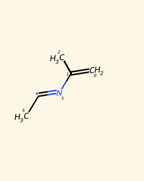 C=C(C)N=CC